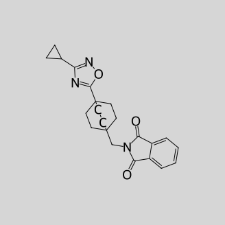 O=C1c2ccccc2C(=O)N1CC12CCC(c3nc(C4CC4)no3)(CC1)CC2